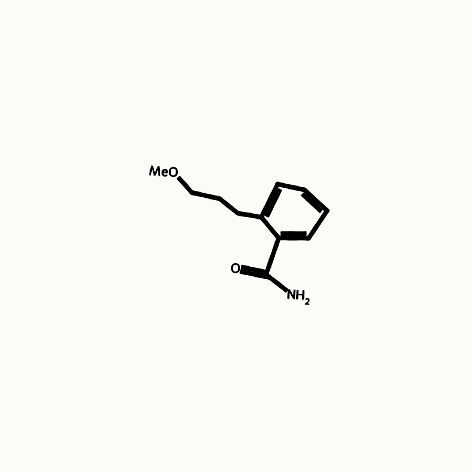 COCCCc1ccccc1C(N)=O